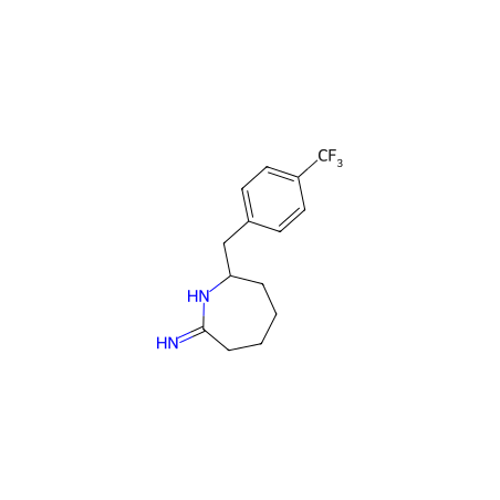 N=C1CCCCC(Cc2ccc(C(F)(F)F)cc2)N1